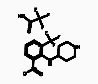 O=C(O)C(F)(F)F.O=[N+]([O-])c1cccc(C(F)(F)F)c1NC1CCNCC1